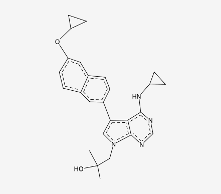 CC(C)(O)Cn1cc(-c2ccc3cc(OC4CC4)ccc3c2)c2c(NC3CC3)ncnc21